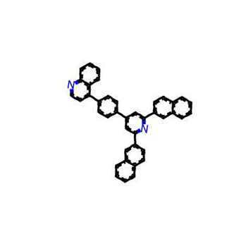 c1ccc2cc(-c3cc(-c4ccc(-c5ccnc6ccccc56)cc4)cc(-c4ccc5ccccc5c4)n3)ccc2c1